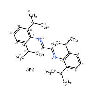 CC(C)c1cccc(C(C)C)c1N=CC=Nc1c(C(C)C)cccc1C(C)C.[Pd]